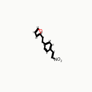 O=[N+]([O-])/C=C/c1ccc(CCc2ccco2)cc1